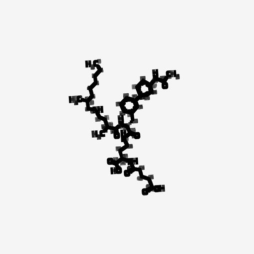 CCCCCC[C@H](C)CNCC[C@H](C)C(=O)N[C@H](Cc1cccc(-c2ccc(NC(C)=O)cc2)c1)C(=O)NCC[C@@H](NC(=O)CCCC(=O)O)C(=O)O